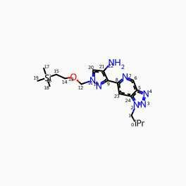 CC(C)Cn1nnc2cnc(-c3nn(COCC[Si](C)(C)C)cc3N)cc21